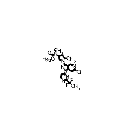 CC1CC(N(C)C(=O)OC(C)(C)C)CN1c1nn(-c2ccnc(C(C)(F)F)n2)c2cc(Cl)ncc12